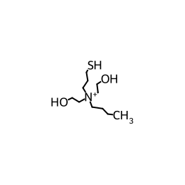 CCCC[N+](CCO)(CCO)CCCS